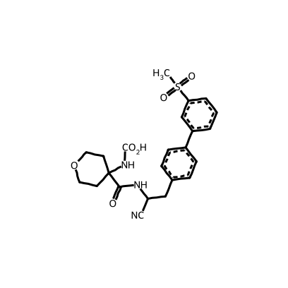 CS(=O)(=O)c1cccc(-c2ccc(CC(C#N)NC(=O)C3(NC(=O)O)CCOCC3)cc2)c1